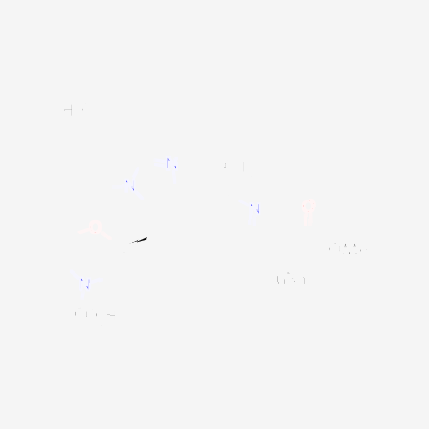 CCCCC(C(=O)OC)c1ccc(-c2nc3cc(C)ccn3c2C[C@H]2CN(C(=O)O)CCO2)c(C)n1